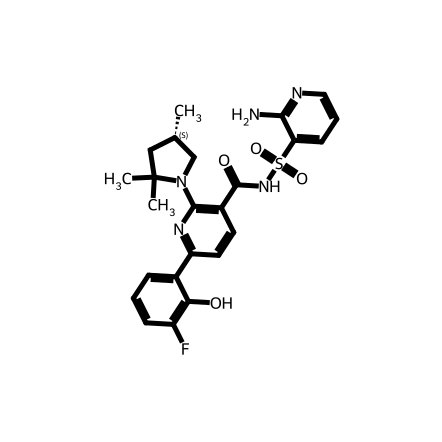 C[C@@H]1CN(c2nc(-c3cccc(F)c3O)ccc2C(=O)NS(=O)(=O)c2cccnc2N)C(C)(C)C1